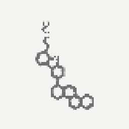 O=COCCC1C=CC=C2C1=Nc1ccc(C3CCCc4c3ccc3c5c(ccc43)C=CCC5)cc12